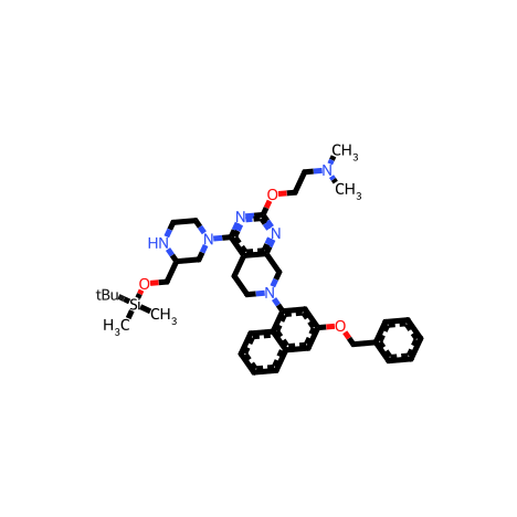 CN(C)CCOc1nc2c(c(N3CCNC(CO[Si](C)(C)C(C)(C)C)C3)n1)CCN(c1cc(OCc3ccccc3)cc3ccccc13)C2